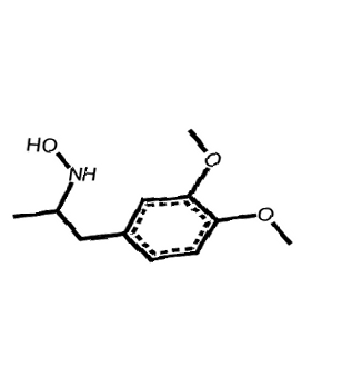 COc1ccc(CC(C)NO)cc1OC